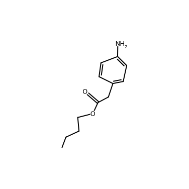 CCCCOC(=O)Cc1ccc(N)cc1